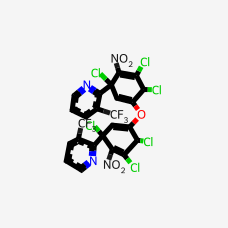 O=[N+]([O-])C1=C(Cl)C(Cl)C(OC2=CC(Cl)(c3ncccc3C(F)(F)F)C([N+](=O)[O-])=C(Cl)C2Cl)=CC1(Cl)c1ncccc1C(F)(F)F